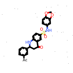 CC(=O)c1cccc(C2CC(=O)c3cc(S(=O)(=O)Nc4ccc5c(c4)OCO5)ccc3N2)c1